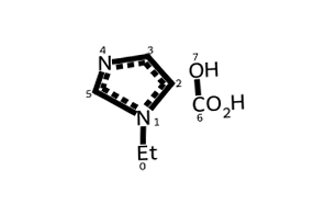 CCn1ccnc1.O=C(O)O